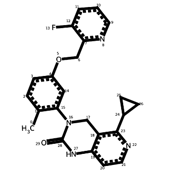 Cc1ccc(OCc2ncccc2F)cc1N1Cc2c(ccnc2C2CC2)NC1=O